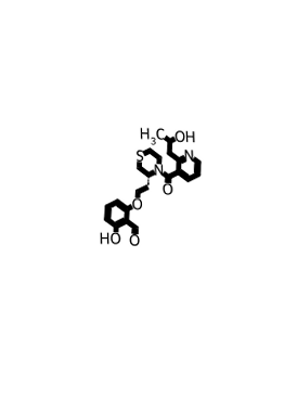 CC(O)Cc1ncccc1C(=O)N1CCSC[C@H]1CCOc1cccc(O)c1C=O